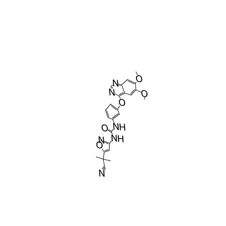 COc1cc2ncnc(Oc3cccc(NC(=O)Nc4cc(C(C)(C)C#N)on4)c3)c2cc1OC